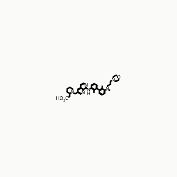 Cc1c(Nc2nccc3cc(CN4CCCCC4CC(=O)O)cnc23)cccc1-c1cccc(N(C)CCCN2CCOCC2)c1C